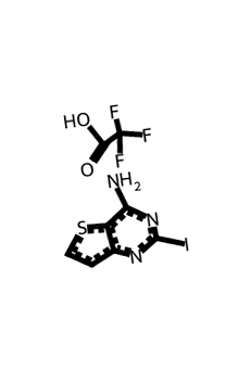 Nc1nc(I)nc2ccsc12.O=C(O)C(F)(F)F